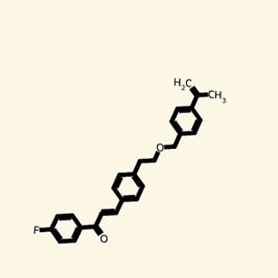 C=C(C)c1ccc(COCCc2ccc(/C=C/C(=O)c3ccc(F)cc3)cc2)cc1